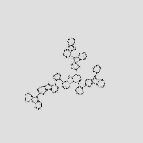 C1=C(c2ccc3c(c2)c2ccccc2n3-c2cccc3c2sc2ccccc23)C2Sc3c(-c4ccccc4-c4cccc5c4oc4ccc(-n6c7ccccc7c7ccccc76)cc45)cccc3C2C(c2ccccc2-c2ccc3c(c2)c2ccccc2n3-c2ccccc2)=C1